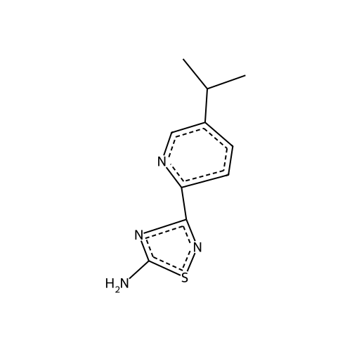 CC(C)c1ccc(-c2nsc(N)n2)nc1